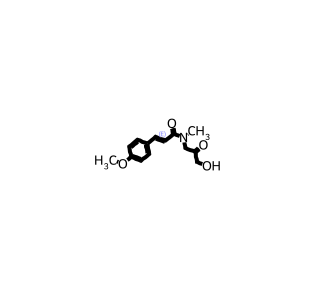 COc1ccc(/C=C/C(=O)N(C)CC(=O)CO)cc1